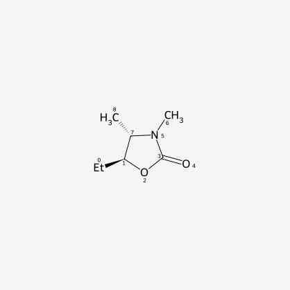 CC[C@@H]1OC(=O)N(C)[C@H]1C